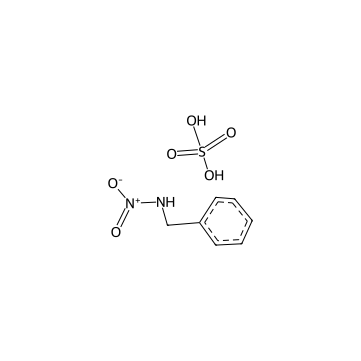 O=S(=O)(O)O.O=[N+]([O-])NCc1ccccc1